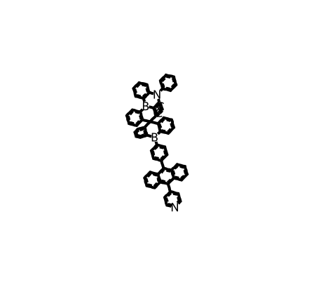 c1ccc(N2c3ccccc3B3c4ccccc4C4(c5ccccc5B(c5ccc(-c6c7ccccc7c(-c7ccncc7)c7ccccc67)cc5)c5ccccc54)c4cccc2c43)cc1